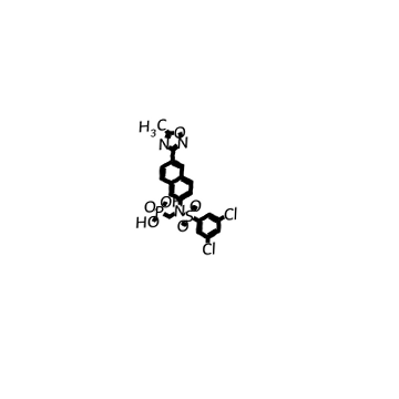 Cc1nc(-c2ccc3cc(N(CP(=O)(O)O)S(=O)(=O)c4cc(Cl)cc(Cl)c4)ccc3c2)no1